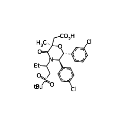 CCC(CS(=O)(=O)C(C)(C)C)N1C(=O)[C@@](C)(CC(=O)O)O[C@H](c2cccc(Cl)c2)[C@H]1c1ccc(Cl)cc1